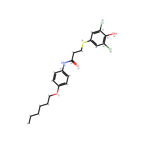 CCCCCCOc1ccc(NC(=O)CCSc2cc(Cl)c(O)c(Cl)c2)cc1